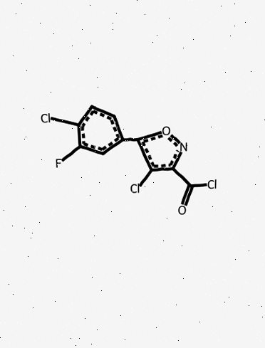 O=C(Cl)c1noc(-c2ccc(Cl)c(F)c2)c1Cl